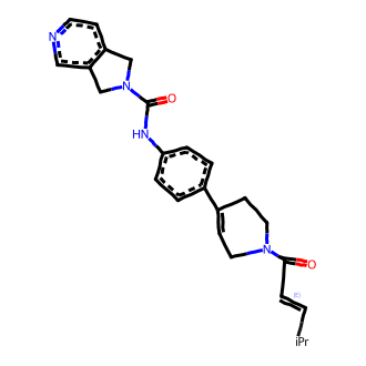 CC(C)/C=C/C(=O)N1CC=C(c2ccc(NC(=O)N3Cc4ccncc4C3)cc2)CC1